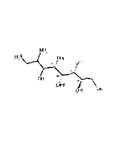 NCC(N)C(O)[C@H](O)[C@@H](O)[C@H](O)[C@H](O)CO